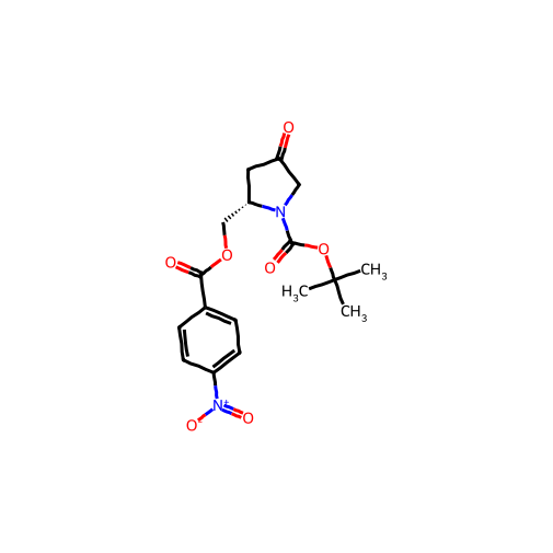 CC(C)(C)OC(=O)N1CC(=O)C[C@H]1COC(=O)c1ccc([N+](=O)[O-])cc1